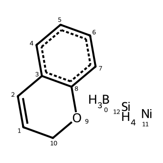 B.C1=Cc2ccccc2OC1.[Ni].[SiH4]